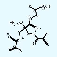 C=C(C)C(=O)OCC(CCC)(COC(=O)C(=C)C)C(=O)OCC(C)S(=O)(=O)O.[KH]